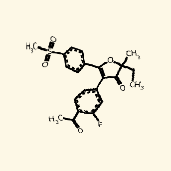 CCC1(C)OC(c2ccc(S(C)(=O)=O)cc2)=C(c2ccc(C(C)=O)c(F)c2)C1=O